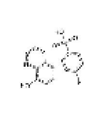 O=S(=O)(O)c1ccc(F)cc1.Oc1cccc2cccnc12